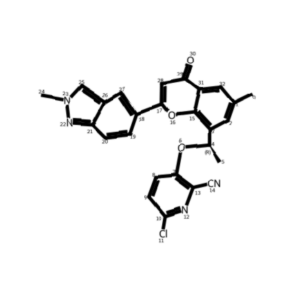 Cc1cc([C@@H](C)Oc2ccc(Cl)nc2C#N)c2oc(-c3ccc4nn(C)cc4c3)cc(=O)c2c1